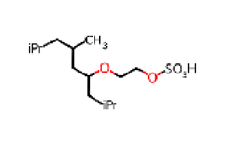 CC(C)CC(C)CC(CC(C)C)OCCOS(=O)(=O)O